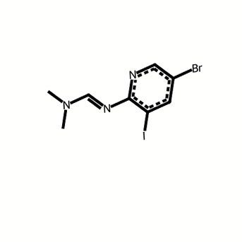 CN(C)/C=N/c1ncc(Br)cc1I